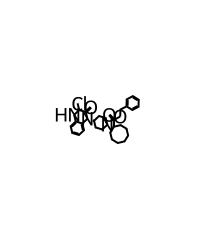 O=C1C(Cl)Nc2ccccc2N1C1CCN(C2(C(=O)OCc3ccccc3)CCCCCCC2)CC1